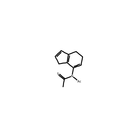 CC(=O)N(C(C)=S)C1=CCCC2=C1CC=C2